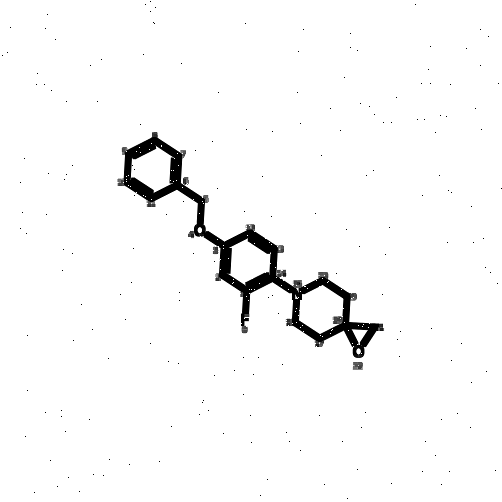 Fc1cc(OCc2ccccc2)ccc1N1CCC2(CC1)CO2